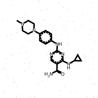 CN1CCN(c2ccc(Nc3ncc(C(N)=O)c(NC4CC4)n3)cc2)CC1